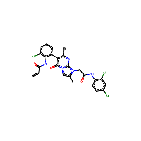 C=CC(=O)Nc1c(Cl)cccc1-c1c(CC)nc2n(CC(=O)Nc3ccc(Cl)cc3Cl)c(C)cn2c1=O